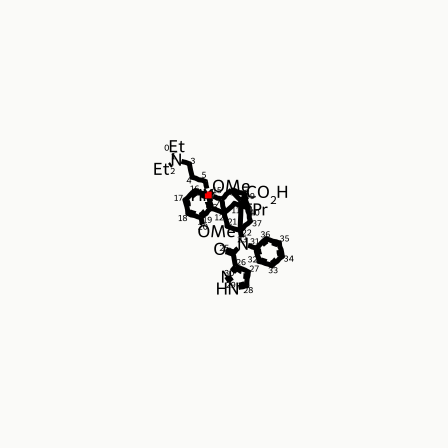 CCN(CC)CCCNC1C2CC3CC1(c1c(OC)cccc1OC)CC(N(C(=O)c1cc[nH]n1)c1ccccc1)(C3)C2(C(=O)O)C(C)C